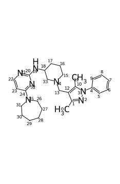 Cc1nn(-c2ccccc2)c(C)c1CN1CCCC(Nc2nccc(N3CCCCCC3)n2)C1